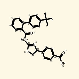 CC(C)(C)c1ccc(-c2ccccc2C(=O)NC2=NC(c3ccc(C(=O)O)cc3)CS2)cc1